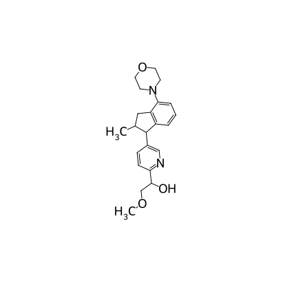 COCC(O)c1ccc(C2c3cccc(N4CCOCC4)c3CC2C)cn1